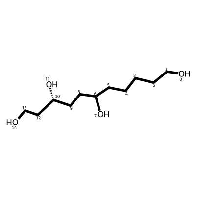 OCCCCCC(O)CC[C@@H](O)CCO